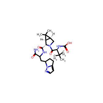 CC(C)(C)[C@H](NC(=O)O)C(=O)N1C[C@H]2[C@@H]([C@H]1C(=O)NC(CC1CCc3ccnn31)C(N)=O)C2(C)C